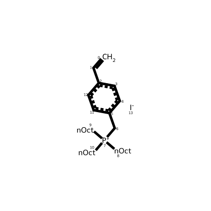 C=Cc1ccc(C[P+](CCCCCCCC)(CCCCCCCC)CCCCCCCC)cc1.[I-]